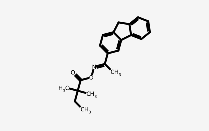 CCC(C)(C)C(=O)O/N=C(\C)c1ccc2c(c1)-c1ccccc1C2